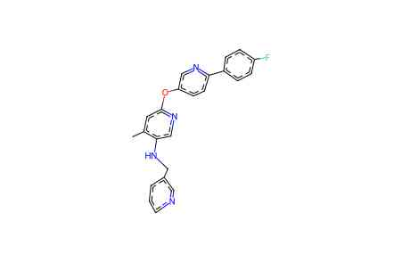 Cc1cc(Oc2ccc(-c3ccc(F)cc3)nc2)ncc1NCc1cccnc1